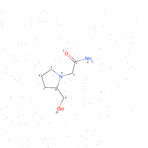 NC(=O)CN1CCCC1CO